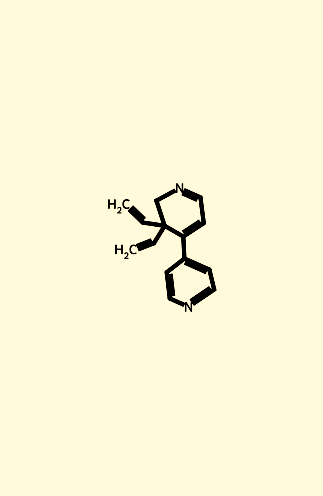 C=CC1(C=C)CN=CC=C1c1ccncc1